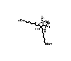 CCCCCCCCCCCCCCCCC(O)(CCCCCCCCCCCCCCCC)C([N+](C)(C)C)P(=O)(O)O